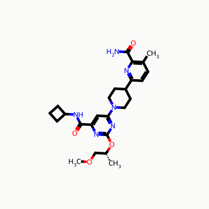 COC[C@@H](C)Oc1nc(C(=O)NC2CCC2)cc(N2CCC(c3ccc(C)c(C(N)=O)n3)CC2)n1